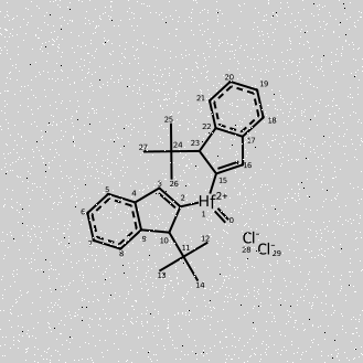 [CH2]=[Hf+2]([C]1=Cc2ccccc2C1C(C)(C)C)[C]1=Cc2ccccc2C1C(C)(C)C.[Cl-].[Cl-]